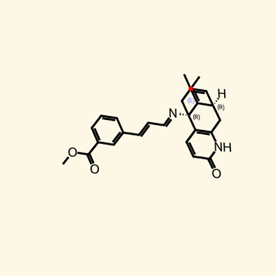 C/C=C1\[C@H]2C=C(C)C[C@]1(N=CC=Cc1cccc(C(=O)OC)c1)c1ccc(=O)[nH]c1C2